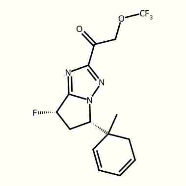 CC1([C@@H]2C[C@H](F)c3nc(C(=O)COC(F)(F)F)nn32)C=CC=CC1